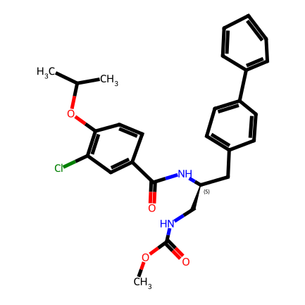 COC(=O)NC[C@H](Cc1ccc(-c2ccccc2)cc1)NC(=O)c1ccc(OC(C)C)c(Cl)c1